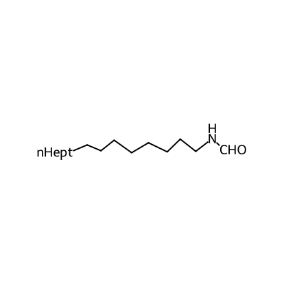 CCCCCCCCCCCCCCCNC=O